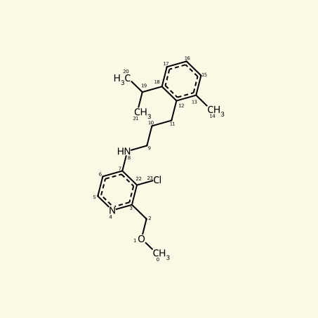 COCc1nccc(NCCCc2c(C)cccc2C(C)C)c1Cl